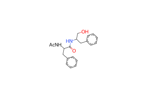 CC(=O)NC(Cc1ccccc1)C(=O)NC(CO)Cc1ccccc1